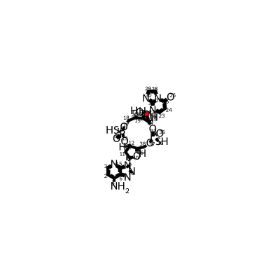 Nc1ccnc2c1nnn2[C@H]1C[C@@H]2OP(=O)(S)OC[C@H]3O[C@@H](n4ccc(=O)n5ccnc45)[C@H](OP(=O)(S)OC[C@H]2O1)[C@@H]3O